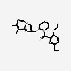 CCOc1ccc(CC)nc1C(=O)N1CCCC[C@H]1Cc1cn2ccc(C)c(C)c2n1